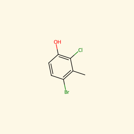 Cc1c(Br)ccc(O)c1Cl